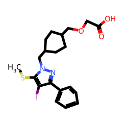 CSc1c(I)c(-c2ccccc2)nn1CC1CCC(COCC(=O)O)CC1